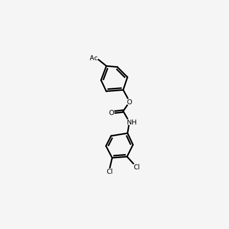 CC(=O)c1ccc(OC(=O)Nc2ccc(Cl)c(Cl)c2)cc1